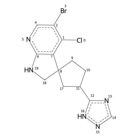 Clc1c(Br)cnc2c1C1(CCC(c3ncn[nH]3)C1)CN2